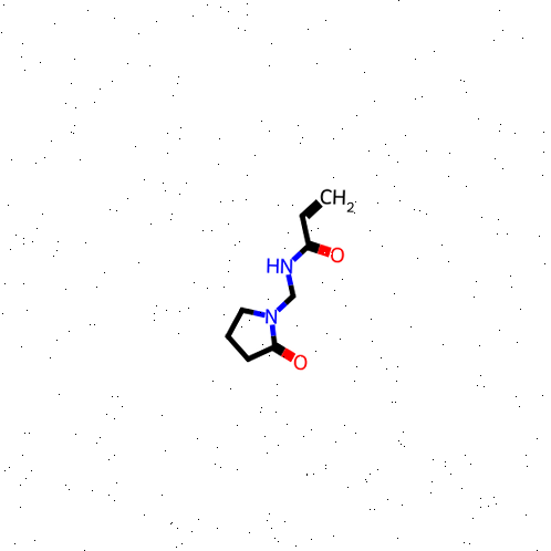 C=CC(=O)NCN1CCCC1=O